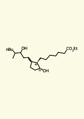 CCCCC(C)C(O)CC=C1CC[C@H](O)[C@@H]1CCCCCCC(=O)OCC